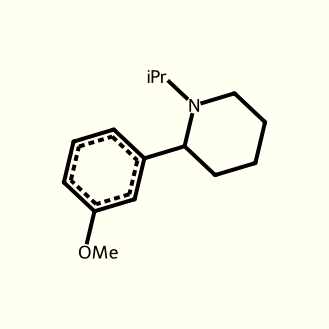 COc1cccc(C2CCCCN2C(C)C)c1